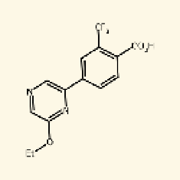 CCOc1cncc(-c2ccc(C(=O)O)c(C(F)(F)F)c2)n1